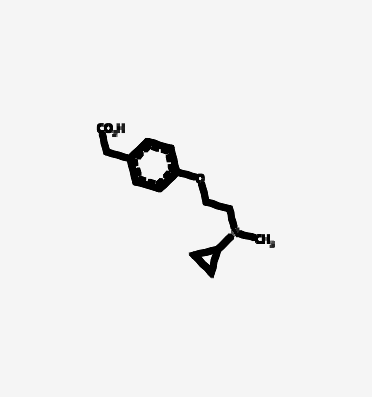 CN(CCOc1ccc(CC(=O)O)cc1)C1CC1